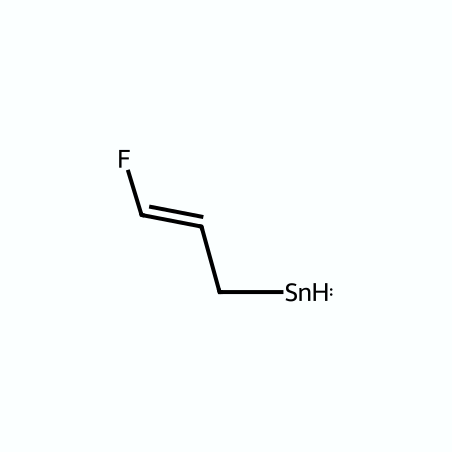 FC=C[CH2][SnH]